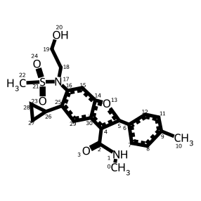 CNC(=O)c1c(-c2ccc(C)cc2)oc2cc(N(CCO)S(C)(=O)=O)c(C3CC3)cc12